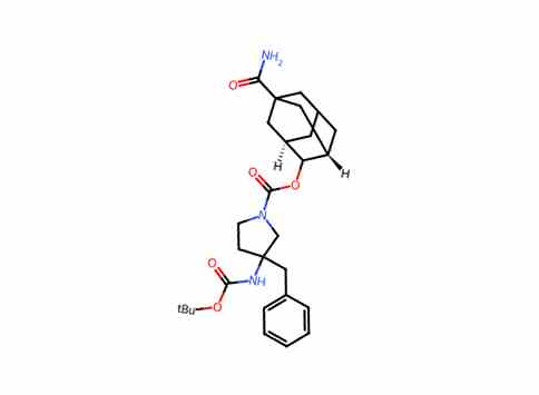 CC(C)(C)OC(=O)NC1(Cc2ccccc2)CCN(C(=O)OC2[C@@H]3CC4C[C@H]2CC(C(N)=O)(C4)C3)C1